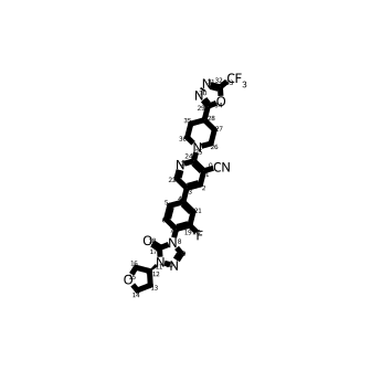 N#Cc1cc(-c2ccc(-n3cnn([C@H]4CCOC4)c3=O)c(F)c2)cnc1N1CCC(c2nnc(C(F)(F)F)o2)CC1